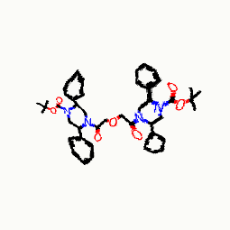 CC(C)(C)OC(=O)N1CC(c2ccccc2)N(C(=O)COCC(=O)N2CC(c3ccccc3)N(C(=O)OC(C)(C)C)CC2c2ccccc2)CC1c1ccccc1